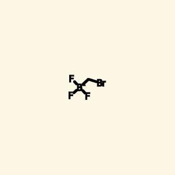 F[B-](F)(F)CBr